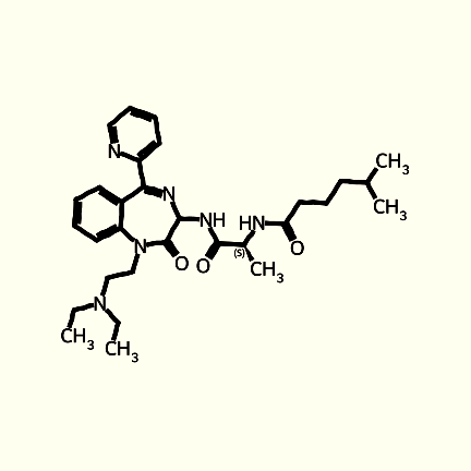 CCN(CC)CCN1C(=O)C(NC(=O)[C@H](C)NC(=O)CCCC(C)C)N=C(c2ccccn2)c2ccccc21